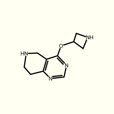 c1nc2c(c(OC3CNC3)n1)CNCC2